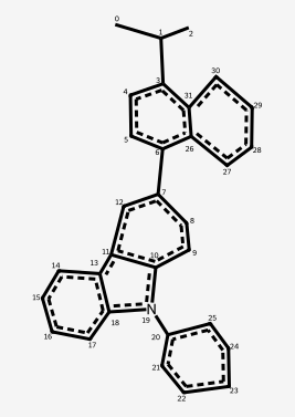 CC(C)c1ccc(-c2ccc3c(c2)c2ccccc2n3-c2ccccc2)c2ccccc12